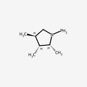 C[C@H]1[C@@H](C)N(P)C[C@@H]1C